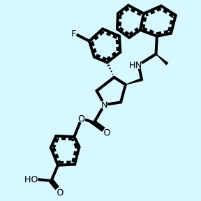 C[C@@H](NC[C@H]1CN(C(=O)Oc2ccc(C(=O)O)cc2)C[C@@H]1c1cccc(F)c1)c1cccc2ccccc12